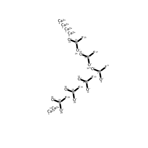 [Ca+2].[Ca+2].[Ca+2].[Ca+2].[Ca+2].[Ca+2].[O-]B([O-])F.[O-]B([O-])F.[O-]B([O-])F.[O-]B([O-])F.[O-]B([O-])F.[O-]B([O-])F